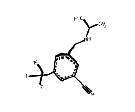 CC(C)NCc1cc(C#N)cc(C(F)(F)F)c1